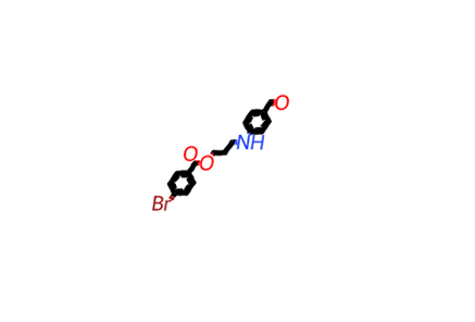 O=Cc1ccc(NCCCOC(=O)c2ccc(Br)cc2)cc1